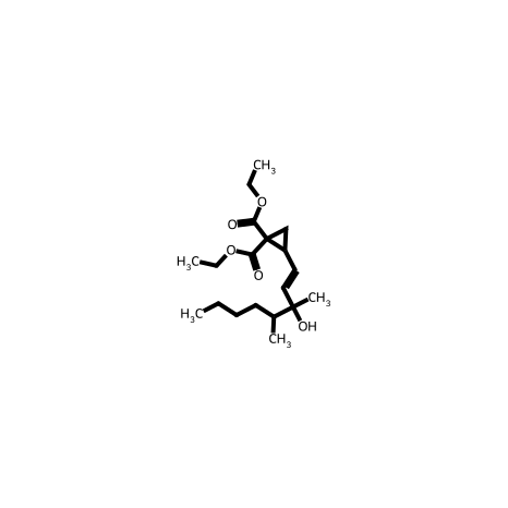 CCCCC(C)C(C)(O)C=CC1CC1(C(=O)OCC)C(=O)OCC